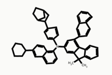 CC1(C)c2ccccc2-c2c(-c3ccc4ccccc4c3)cc(N(c3ccc(C4CC5CCC4C5)cc3)c3cccc4cc(C5CCCCC5)ccc34)cc21